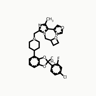 Cc1nc(CN2CCC(c3cccc4c3OC(C)(c3ccc(Cl)cc3F)O4)CC2)n(CC2CCO2)c1-c1cocn1